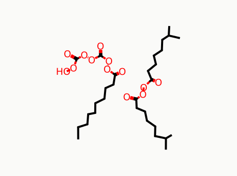 CC(C)CCCCCC(=O)OOC(=O)CCCCCC(C)C.CCCCCCCCCC(=O)OOC(=O)OOC(=O)OO